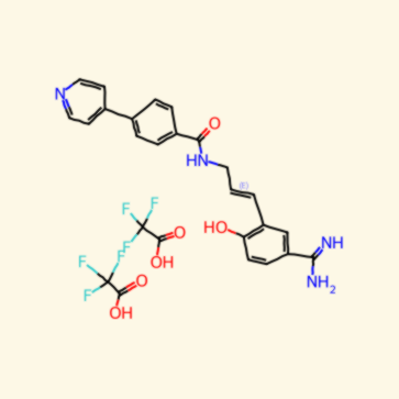 N=C(N)c1ccc(O)c(/C=C/CNC(=O)c2ccc(-c3ccncc3)cc2)c1.O=C(O)C(F)(F)F.O=C(O)C(F)(F)F